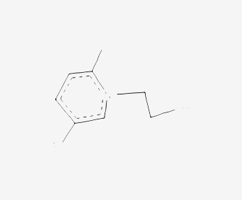 CC(=O)c1ccc(C)[n+](CCO)c1